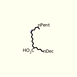 CCCCCCCCCCCCCCC(CCCCCC/C=C\CCC(C)CCCCC)C(=O)O